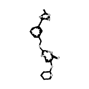 Cc1nc(-c2cccc(CSc3ncc(OC4CCCCO4)c(=O)[nH]3)c2)no1